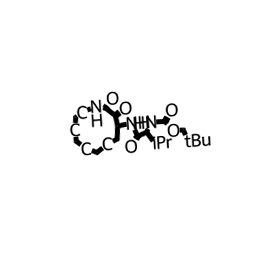 CC(C)C(NC(=O)OCC(C)(C)C)C(=O)NC1CCCCCCCCNC(=O)C1=O